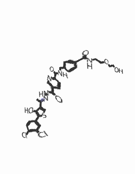 C/C(=N\NC(=O)c1ccc(C(=O)NCc2ccc(C(=O)NCCOCCO)cc2)nc1)c1csc(-c2ccc(Cl)c(Cl)c2)c1O